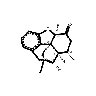 C[C@H]1CC(=O)[C@@H]2Oc3cccc4c3[C@@]23CCN(C)[C@H](C4)[C@H]13